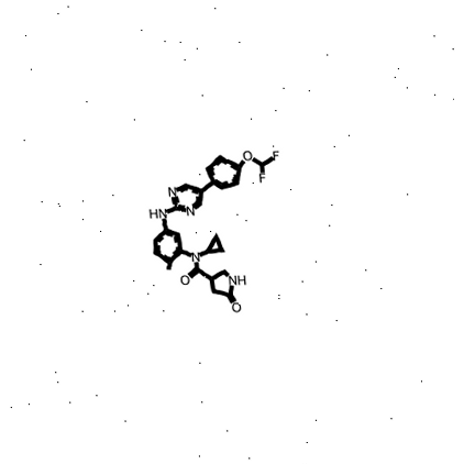 Cc1ccc(Nc2ncc(-c3ccc(OC(F)F)cc3)cn2)cc1N(C(=O)C1CNC(=O)C1)C1CC1